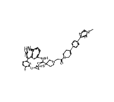 CSC1(C(=O)Nc2ccc3[nH]nc(-c4ccc(F)c(OC5CC5)n4)c3c2)CCN(CC(=O)N2CC=C(c3ccc(-c4ncn(C)n4)cc3)CC2)C1